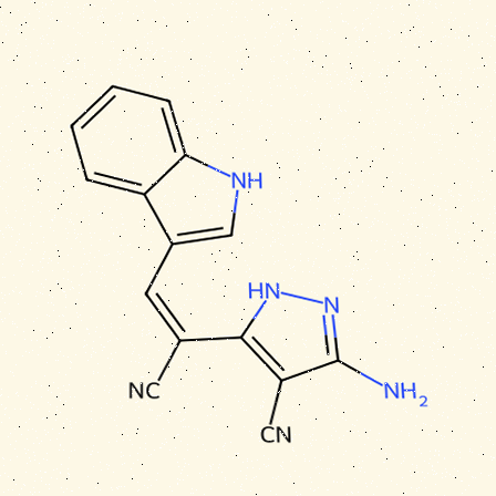 N#CC(=Cc1c[nH]c2ccccc12)c1[nH]nc(N)c1C#N